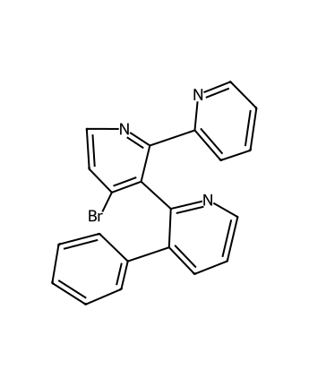 Brc1ccnc(-c2ccccn2)c1-c1ncccc1-c1ccccc1